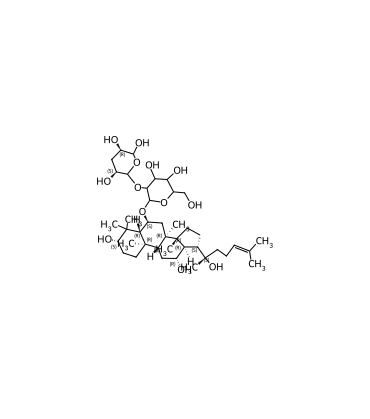 CC(C)=CCC[C@](C)(O)[C@H]1CC[C@]2(C)[C@@H]1[C@H](O)C[C@@H]1[C@@]3(C)CC[C@H](O)C(C)(C)[C@@H]3[C@@H](OC3OC(CO)C(O)C(O)C3OC3OC(O)[C@H](O)C[C@@H]3O)C[C@]12C